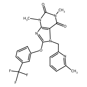 Cc1cccc(Cn2c(Oc3cccc(C(F)(F)F)c3)nc3c2c(=O)n(C)c(=O)n3C)n1